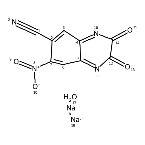 N#Cc1cc2c(cc1[N+](=O)[O-])=NC(=O)C(=O)N=2.O.[Na].[Na]